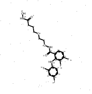 O=C(CCCOCCONC(=O)c1ccc(F)c(F)c1Nc1ccc(I)cc1F)NO